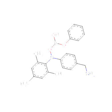 Cc1cc(C)c(N(OB(O)Oc2ccccc2)c2ccc(CN)cc2)c(C)c1